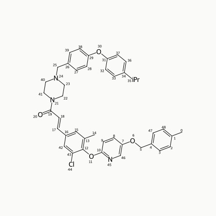 Cc1ccc(COc2ccc(Oc3c(C)cc(C=CC(=O)N4CCN(Cc5ccc(Oc6ccc(C(C)C)cc6)cc5)CC4)cc3Cl)nc2)cc1